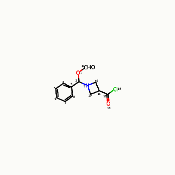 O=COC(c1ccccc1)N1CC(C(=O)Cl)C1